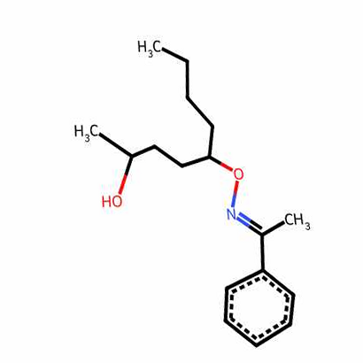 CCCCC(CCC(C)O)ON=C(C)c1ccccc1